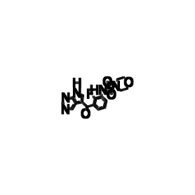 O=C(c1cccc(NS(=O)(=O)N2CCOCC2)c1F)c1c[nH]c2ncncc12